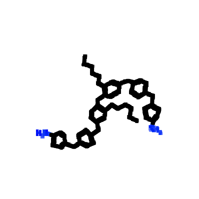 CCCCCCc1cc(Cc2ccc(Cc3ccc(N)cc3)cc2)ccc1Cc1ccc(Cc2ccc(Cc3ccc(N)cc3)cc2)cc1CCCCCC